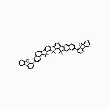 CC1(C)c2cc3cc(-c4cccc5c4oc4ccccc45)ccc3cc2-c2ccc3c(c21)C(C)(C)c1c-3ccc2c1C(C)(C)c1c-2ccc2cc(-c3cccc4c3oc3ccccc34)ccc12